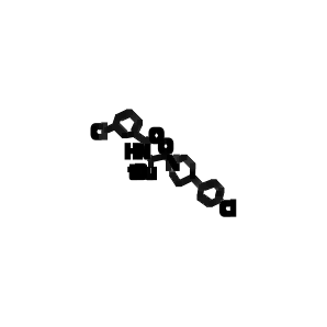 CC(C)(C)C(NC(=O)c1cccc(Cl)c1)C(=O)N1CCC(c2ccc(Cl)cc2)CC1